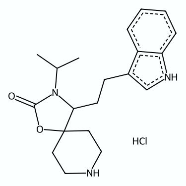 CC(C)N1C(=O)OC2(CCNCC2)C1CCc1c[nH]c2ccccc12.Cl